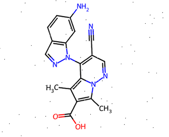 Cc1c(C(=O)O)c(C)n2ncc(C#N)c(-n3ncc4ccc(N)cc43)c12